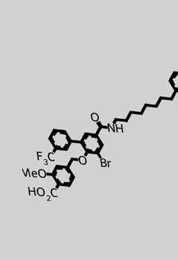 COc1cc(COc2c(Br)cc(C(=O)NCCCCCCCCc3ccccc3)cc2-c2cccc(C(F)(F)F)c2)ccc1C(=O)O